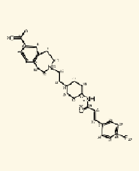 CC(=O)c1ccc2c(c1)CCN(CCC1CCC(NC(=O)C=Cc3ccc(F)cc3)CC1)CC2